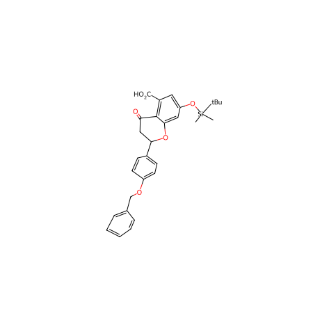 CC(C)(C)[Si](C)(C)Oc1cc2c(c(C(=O)O)c1)C(=O)CC(c1ccc(OCc3ccccc3)cc1)O2